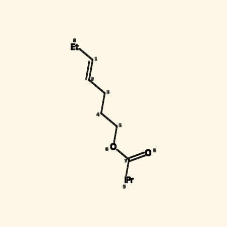 CCC=CCCCOC(=O)C(C)C